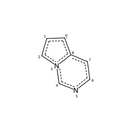 [c]1ccn2cnccc12